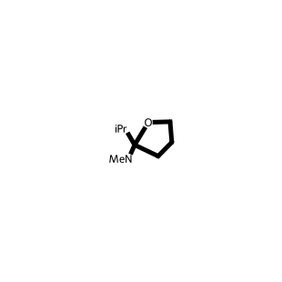 CNC1(C(C)C)CCCO1